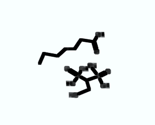 CCCCCCC(=O)O.O=P(O)(O)C(CO)P(=O)(O)O